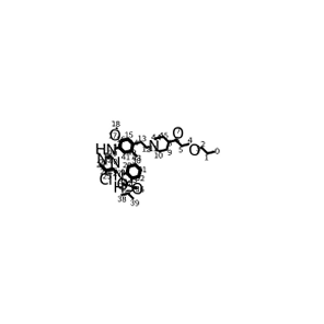 CCCOCCC(=O)C1CCN(CCc2cc(OC)c(Nc3ncc(Cl)c(Nc4ccccc4S(=O)(=O)C(C)C)n3)cc2C)CC1